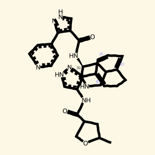 CC1CC(C(=O)Nc2c[nH]nc2C2=C/CC/C(C3CNC[C@@H](NC(=O)c4c[nH]nc4-c4ccncc4)C3)=C/C=C\2)CO1